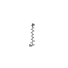 BrC=CCCCCCCCCCCBr